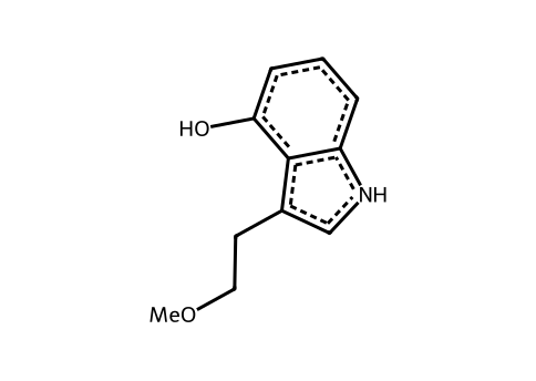 COCCc1c[nH]c2cccc(O)c12